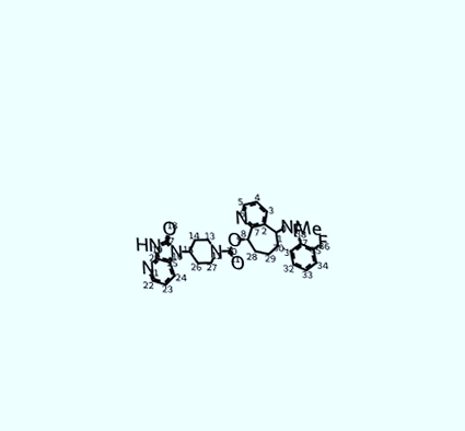 CNC1c2cccnc2[C@H](OC(=O)N2CCC(n3c(=O)[nH]c4ncccc43)CC2)CC[C@H]1c1cccc(F)c1F